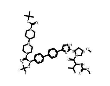 COC(=O)NC(C(=O)N1C[C@@H](OC)C[C@H]1c1nc(-c2ccc(-c3ccc(N(OC(F)(F)F)C(=O)N4CCN(C5CCN(C(=O)OC(C)(C)C)CC5)CC4)cc3)cc2)c[nH]1)C(C)C